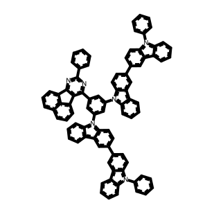 c1ccc(-c2nc(-c3cc(-n4c5ccccc5c5cc(-c6ccc7c(c6)c6ccccc6n7-c6ccccc6)ccc54)cc(-n4c5ccccc5c5cc(-c6ccc7c(c6)c6ccccc6n7-c6ccccc6)ccc54)c3)c3c(n2)-c2cccc4cccc-3c24)cc1